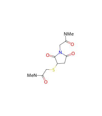 CNC(=O)CSC1CC(=O)N(CC(=O)NC)C1=O